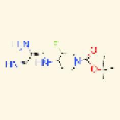 CC(C)(C)OC(=O)N1CCC(N/C=C(/N)C=N)C(F)C1